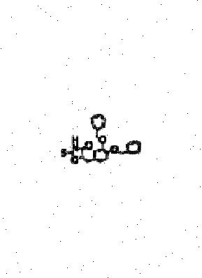 O=C1NC(=S)OC1Cc1ccc(OCc2ccccc2)c(OCc2ccccc2)c1